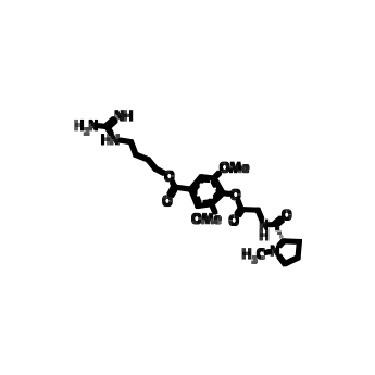 COc1cc(C(=O)OCCCCNC(=N)N)cc(OC)c1OC(=O)CNC(=O)[C@@H]1CCCN1C